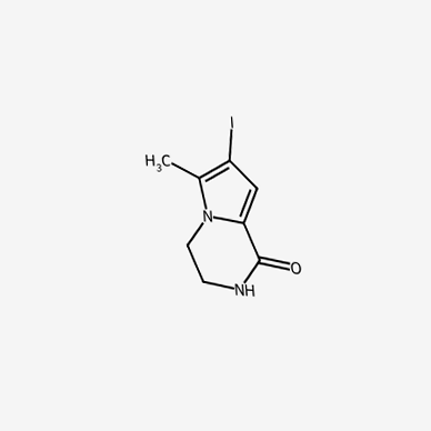 Cc1c(I)cc2n1CCNC2=O